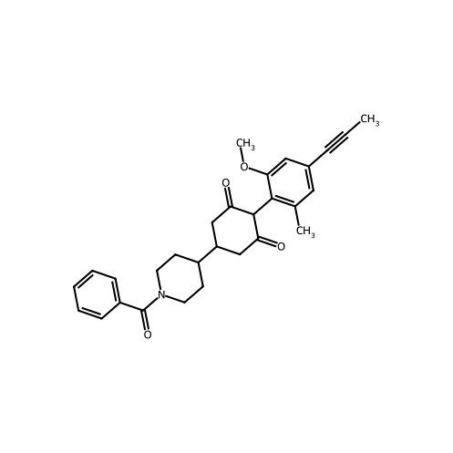 CC#Cc1cc(C)c(C2C(=O)CC(C3CCN(C(=O)c4ccccc4)CC3)CC2=O)c(OC)c1